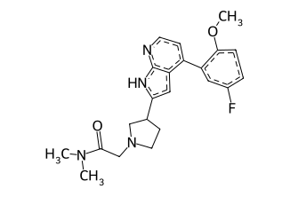 COc1ccc(F)cc1-c1ccnc2[nH]c(C3CCN(CC(=O)N(C)C)C3)cc12